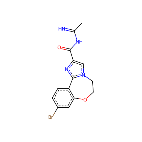 CC(=N)NC(=O)c1cn2c(n1)-c1ccc(Br)cc1OCC2